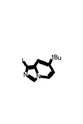 CC(C)(C)c1ccn2cnc(I)c2c1